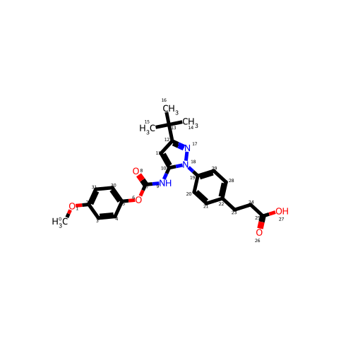 COc1ccc(OC(=O)Nc2cc(C(C)(C)C)nn2-c2ccc(CCC(=O)O)cc2)cc1